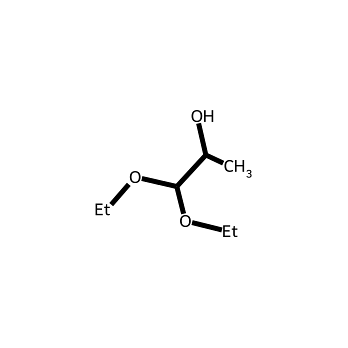 CCOC(OCC)C(C)O